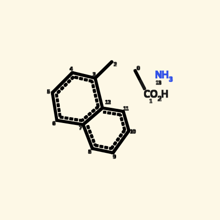 CC(=O)O.Cc1cccc2ccccc12.N